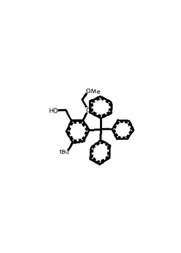 COCOc1c(CO)cc(C(C)(C)C)cc1C(c1ccccc1)(c1ccccc1)c1ccccc1